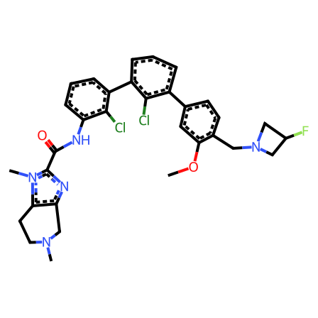 COc1cc(-c2cccc(-c3cccc(NC(=O)c4nc5c(n4C)CCN(C)C5)c3Cl)c2Cl)ccc1CN1CC(F)C1